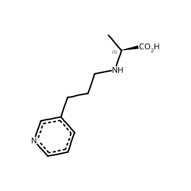 C[C@H](NCCCc1cccnc1)C(=O)O